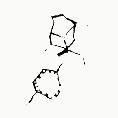 CC(C)(C)OC(=O)N1[C@@]2(C)CC[C@]1(C)[C@H](F)[C@@H](Oc1ccc(Br)nn1)C2